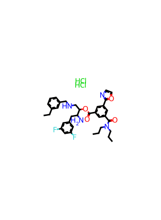 CCCN(CCC)C(=O)c1cc(C(=O)OC(CNCc2cccc(CC)c2)C(N)Cc2cc(F)cc(F)c2)cc(-c2ncco2)c1.Cl.Cl